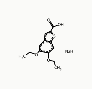 CCOc1cc2cc(C(=O)O)sc2cc1OCC.[NaH]